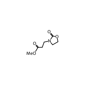 COC(=O)CCN1CCOC1=O